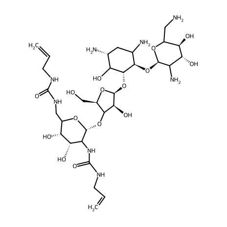 C=CCNC(=O)NCC1O[C@H](OC2[C@@H](CO)O[C@@H](O[C@@H]3C(O)[C@H](N)CC(N)[C@H]3O[C@H]3OC(CN)[C@@H](O)[C@H](O)C3N)[C@H]2O)C(NC(=O)NCC=C)[C@H](O)[C@@H]1O